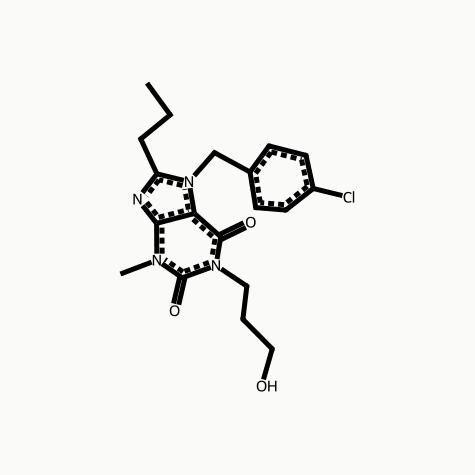 CCCc1nc2c(c(=O)n(CCCO)c(=O)n2C)n1Cc1ccc(Cl)cc1